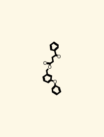 O=C(CCC(=O)c1ccccc1)OCc1cccc(Oc2ccccc2)c1